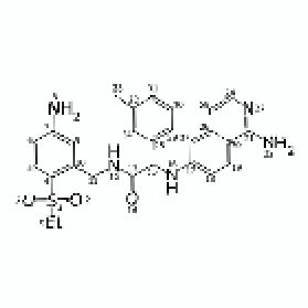 CCS(=O)(=O)c1ccc(N)cc1CNC(=O)C(Nc1ccc2c(N)nccc2c1)c1cccc(C)c1